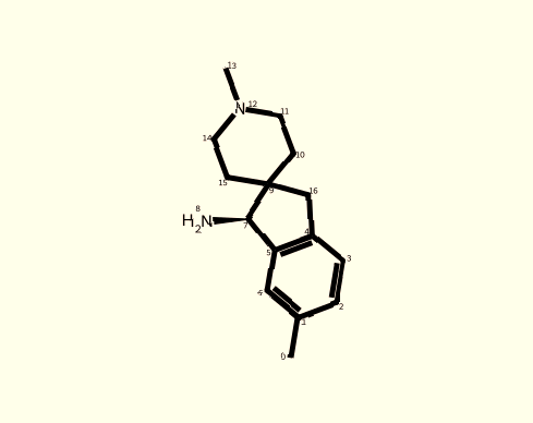 Cc1ccc2c(c1)[C@@H](N)C1(CCN(C)CC1)C2